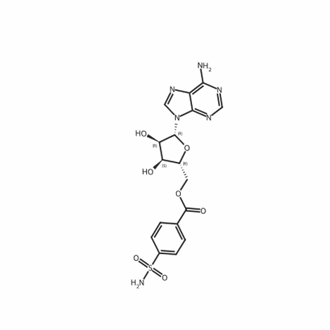 Nc1ncnc2c1ncn2[C@@H]1O[C@H](COC(=O)c2ccc(S(N)(=O)=O)cc2)[C@@H](O)[C@H]1O